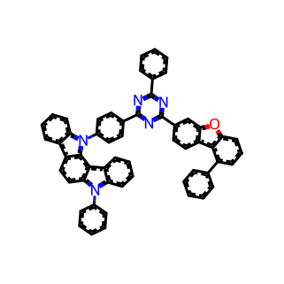 c1ccc(-c2nc(-c3ccc(-n4c5ccccc5c5ccc6c(c7ccccc7n6-c6ccccc6)c54)cc3)nc(-c3ccc4c(c3)oc3cccc(-c5ccccc5)c34)n2)cc1